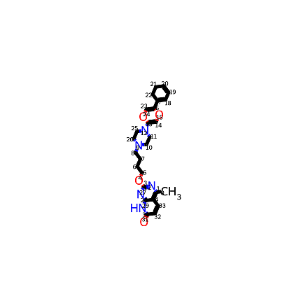 Cc1nc(OCCCCN2CCN(C3=COC(C4=CC=CCC4)=CO3)CC2)nc2[nH]c(=O)ccc12